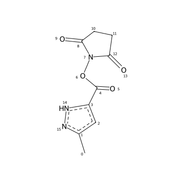 Cc1cc(C(=O)ON2C(=O)CCC2=O)[nH]n1